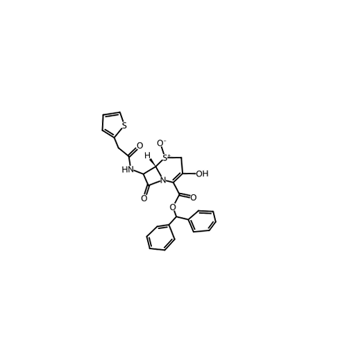 O=C(Cc1cccs1)NC1C(=O)N2C(C(=O)OC(c3ccccc3)c3ccccc3)=C(O)C[S+]([O-])[C@@H]12